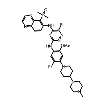 CCc1cc(Nc2nnc(Br)c(Nc3ccc4nccnc4c3P(C)(C)=O)n2)c(OC)cc1N1CCC(N2CCN(C)CC2)CC1